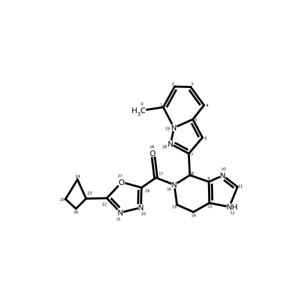 Cc1cccc2cc(C3c4nc[nH]c4CCN3C(=O)c3nnc(C4CCC4)o3)nn12